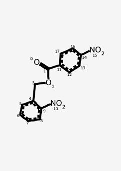 O=C(OCc1ccccc1[N+](=O)[O-])c1ccc([N+](=O)[O-])cc1